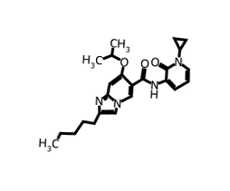 CCCCCc1cn2cc(C(=O)Nc3cccn(C4CC4)c3=O)c(OC(C)C)cc2n1